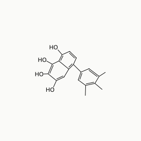 Cc1cc(-c2ccc(O)c3c(O)c(O)c(O)cc23)cc(C)c1C